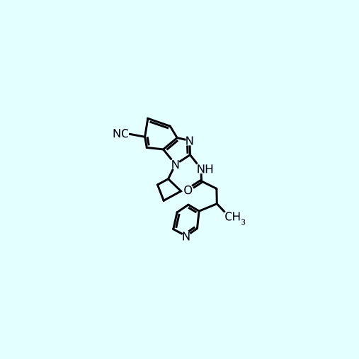 CC(CC(=O)Nc1nc2ccc(C#N)cc2n1C1CCC1)c1cccnc1